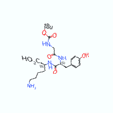 CC(C)(C)OC(=O)NCC(=O)N[C@@H](Cc1ccc(O)cc1)C(=O)N[C@@H](CCCCN)C(=O)O